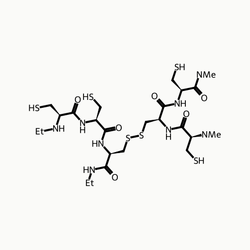 CCNC(=O)[C@H](CSSC[C@H](NC(=O)[C@H](CS)NC)C(=O)N[C@@H](CS)C(=O)NC)NC(=O)[C@H](CS)NC(=O)[C@H](CS)NCC